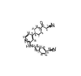 N#CCC(=O)N1CCC(c2ccnc(Nc3nc4ccc(C#N)cc4s3)c2)CC1